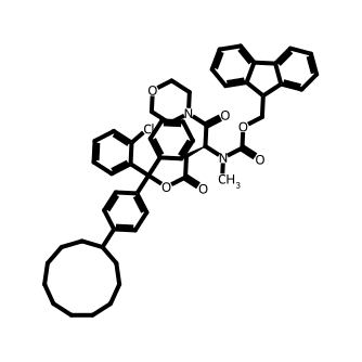 CN(C(=O)OCC1c2ccccc2-c2ccccc21)[C@@H](CC(=O)OC(c1ccccc1)(c1ccc(C2CCCCCCCCCC2)cc1)c1ccccc1Cl)C(=O)N1CCOCC1